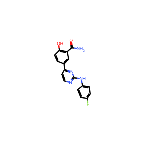 NC(=O)c1cc(-c2ccnc(Nc3ccc(F)cc3)n2)ccc1O